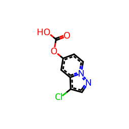 O=C(O)Oc1ccn2ncc(Cl)c2c1